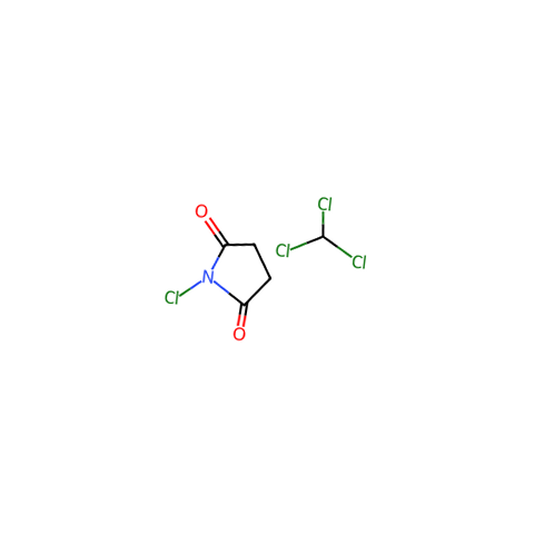 ClC(Cl)Cl.O=C1CCC(=O)N1Cl